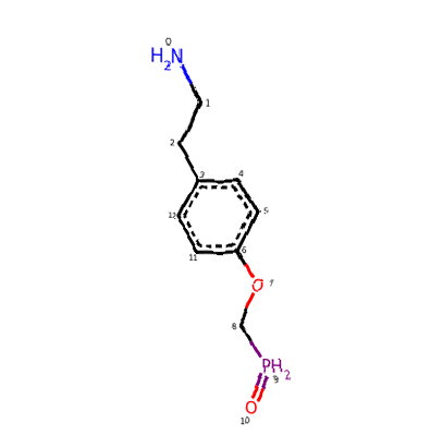 NCCc1ccc(OC[PH2]=O)cc1